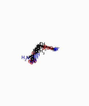 C[C@H](CCC(=O)OCCOCCOCCN=[N+]=[N-])C1CCC2C3CC[C@@H]4C[C@H](NC(=O)[C@H](CCCCN)Nc5ccc([N+](=O)[O-])c6nonc56)CC[C@]4(C)C3CC[C@@]21C